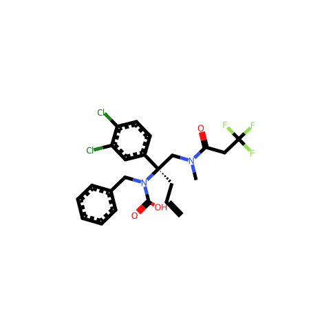 C=CC[C@@](CN(C)C(=O)CC(F)(F)F)(c1ccc(Cl)c(Cl)c1)N(Cc1ccccc1)C(=O)O